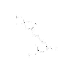 CN(CCCCC(=O)CC(C)(C)C)CC(=O)O